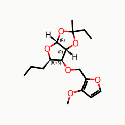 CCC[C@H]1O[C@@H]2OC(C)(CC)O[C@@H]2[C@H]1OCc1occc1OC